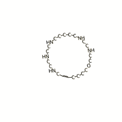 [CH]1CC=CCNCCNCCNCCCCCNCCNCCOCC1